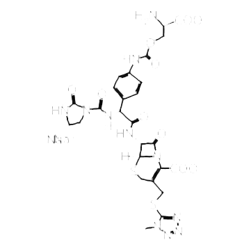 Cn1nnnc1SCC1=C(C(=O)[O-])N2C(=O)[C@@H](NC(=O)[C@H](NC(=O)N3CCNC3=O)c3ccc(NC(=O)OC[C@@H](N)C(=O)[O-])cc3)[C@@H]2SC1.[Na+].[Na+]